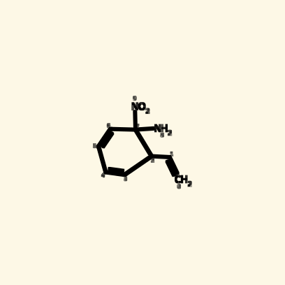 C=CC1C=CC=CC1(N)[N+](=O)[O-]